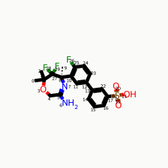 CC1(C)OCC(N)=N[C@](C)(c2cc(-c3cccc(S(=O)(=O)O)c3)ccc2F)C1(F)F